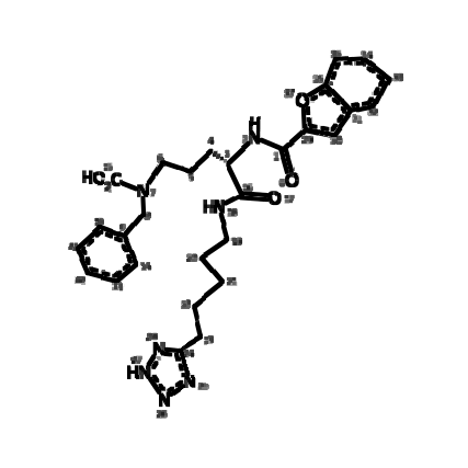 O=C(N[C@@H](CCCN(Cc1ccccc1)C(=O)O)C(=O)NCCCCCc1nn[nH]n1)c1cc2ccccc2o1